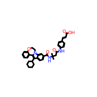 CC(C)(CC(=O)Nc1ccc(/C=C/C(=O)O)cc1)NC(=O)c1ccc2c(C3CCCCC3)c3n(c2c1)CCOc1ccccc1-3